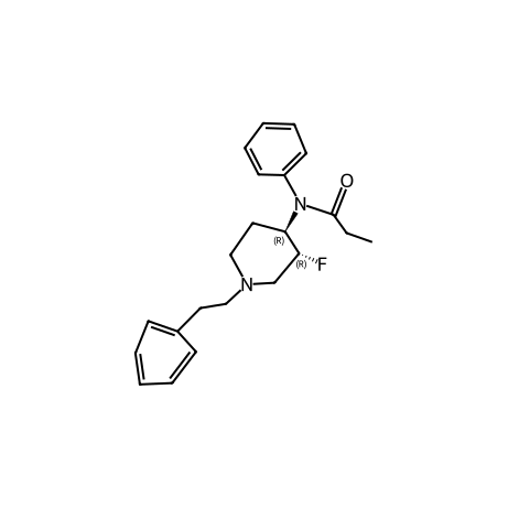 CCC(=O)N(c1ccccc1)[C@@H]1CCN(CCc2ccccc2)C[C@H]1F